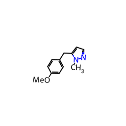 COc1ccc(Cc2ccnn2C)cc1